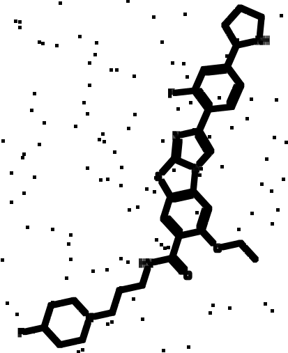 CCOc1cc2c(cc1C(=O)NCCCN1CCC(F)CC1)sc1nc(-c3ccc(C4CCCN4)cc3F)cn12